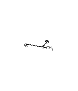 CCCC[S+](CCCCCCCCCCCCCCC1CCCCO1)CCCCC1CCCO1